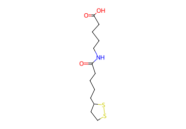 O=C(O)CCCCNC(=O)CCCCC1CCSS1